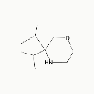 CC(C)C1(C(C)C)COCCN1